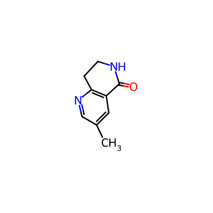 Cc1cnc2c(c1)C(=O)NCC2